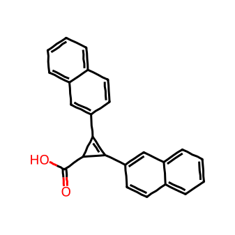 O=C(O)C1C(c2ccc3ccccc3c2)=C1c1ccc2ccccc2c1